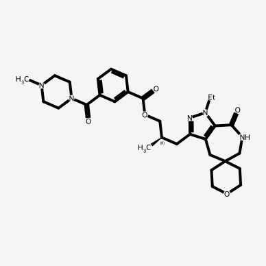 CCn1nc(C[C@@H](C)COC(=O)c2cccc(C(=O)N3CCN(C)CC3)c2)c2c1C(=O)NCC1(CCOCC1)C2